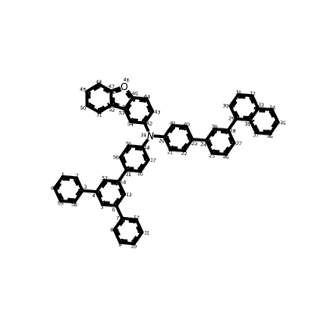 c1ccc(-c2cc(-c3ccccc3)cc(-c3ccc(N(c4ccc(-c5cccc(-c6cccc7ccccc67)c5)cc4)c4ccc5oc6ccccc6c5c4)cc3)c2)cc1